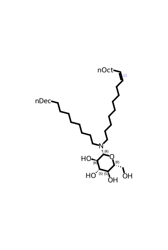 CCCCCCCC/C=C\CCCCCCCCN(CCCCCCCCCCCCCCCCCC)[C@@H]1O[C@H](CO)[C@@H](O)[C@H](O)[C@H]1O